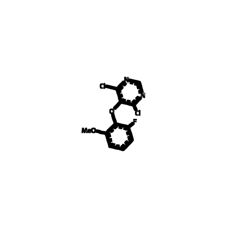 COc1cccc(F)c1Oc1c(Cl)ncnc1Cl